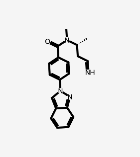 C[C@H](CC=N)N(C)C(=O)c1ccc(-n2cc3ccccc3n2)cc1